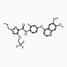 CCCn1cc(OCC(F)(F)F)c(C(=O)Nc2ccc(Oc3ccnc4cc(OC)c(OC)cc34)cc2C)n1